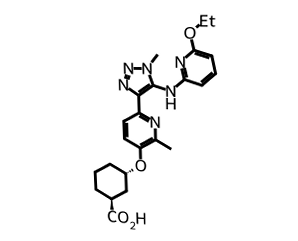 CCOc1cccc(Nc2c(-c3ccc(O[C@H]4CCC[C@H](C(=O)O)C4)c(C)n3)nnn2C)n1